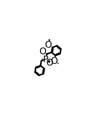 COc1cccc(OC)c1C(=O)[P](=O)Cc1ccccc1